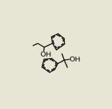 CC(C)(O)c1ccccc1.CCC(O)c1ccccc1